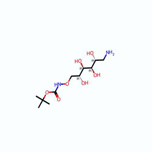 CC(C)(C)OC(=O)NOC[C@@H](O)[C@@H](O)[C@H](O)[C@H](O)CN